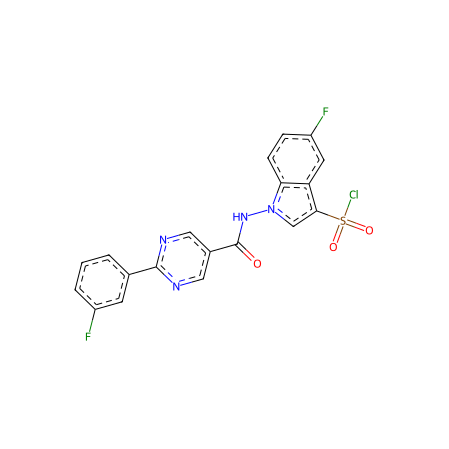 O=C(Nn1cc(S(=O)(=O)Cl)c2cc(F)ccc21)c1cnc(-c2cccc(F)c2)nc1